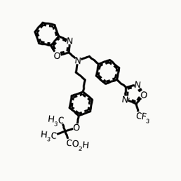 CC(C)(Oc1ccc(CCN(Cc2ccc(-c3noc(C(F)(F)F)n3)cc2)c2nc3ccccc3o2)cc1)C(=O)O